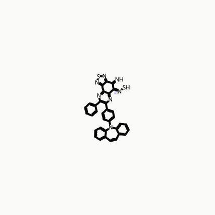 N=C1/C(=N\S)c2nc(-c3ccc(N4c5ccccc5C=Cc5ccccc54)cc3)c(-c3ccccc3)nc2-c2nsnc21